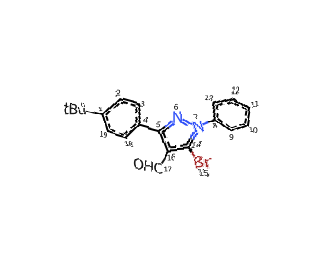 CC(C)(C)c1ccc(-c2nn(-c3ccccc3)c(Br)c2C=O)cc1